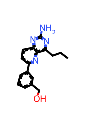 CCCc1nc(N)nc2ccc(-c3cccc(CO)c3)nc12